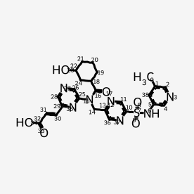 Cc1cncc(NS(=O)(=O)c2cnc(CN(C(=O)C3CCCC(O)C3)c3cncc(C=CC(=O)O)n3)cn2)c1